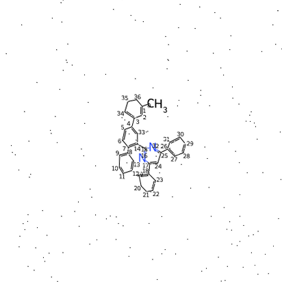 CC1=CC(c2ccc(-c3ccccc3)c(-c3nc(C4=CCCC=C4)cc(-c4ccccc4)n3)c2)=CCC1